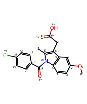 COc1ccc2c(c1)c(CC(O)=S)c(C)n2C(=O)c1ccc(Cl)cc1